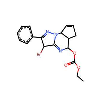 CCOC(=O)OC1N=C2C(Br)C(c3ccccc3)=NN2C2C=CCC12